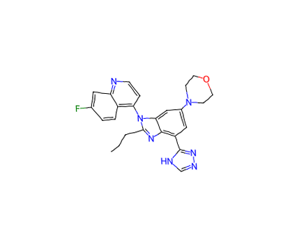 CCCc1nc2c(-c3nnc[nH]3)cc(N3CCOCC3)cc2n1-c1ccnc2cc(F)ccc12